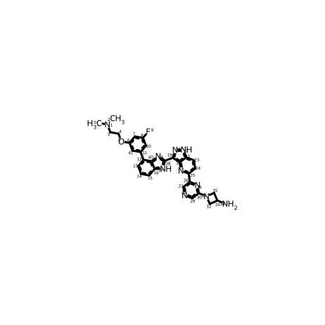 CN(C)CCOc1cc(F)cc(-c2cccc3[nH]c(-c4n[nH]c5ccc(-c6cncc(N7CC(N)C7)n6)nc45)nc23)c1